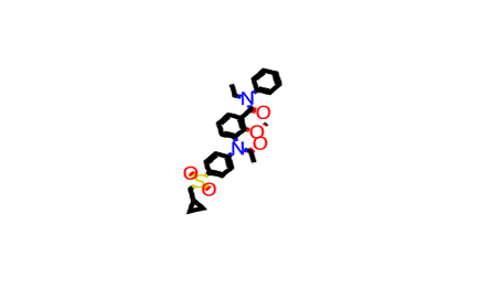 CCN(C(=O)c1cccc(N(C(C)=O)c2ccc(S(=O)(=O)CC3CC3)cc2)c1OC)c1ccccc1